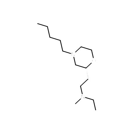 CCCCCN1CCO[C@H](CCN(C)CC)C1